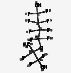 OC(F)(F)C(F)(F)C(F)(F)C(F)(F)OC(F)(C(O)(F)F)C(F)(F)F